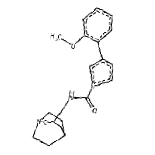 COc1ccccc1-c1ccn(C(=O)NC2CC3CCN(CC3)C2)c1